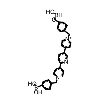 OBOc1ccc(C[n+]2ccc(-c3ccc(-c4cc[n+](Cc5ccc(B(O)O)cc5)cc4)nc3)cc2)cc1